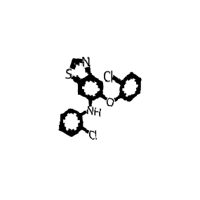 Clc1ccccc1Nc1cc2scnc2cc1Oc1ccccc1Cl